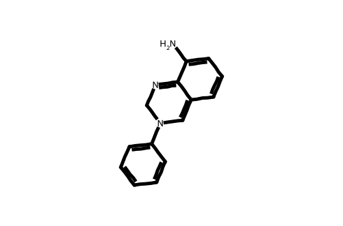 Nc1cccc2c1=NCN(c1ccccc1)C=2